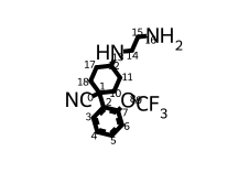 N#CC1(c2ccccc2OC(F)(F)F)CCC(NCCN)CC1